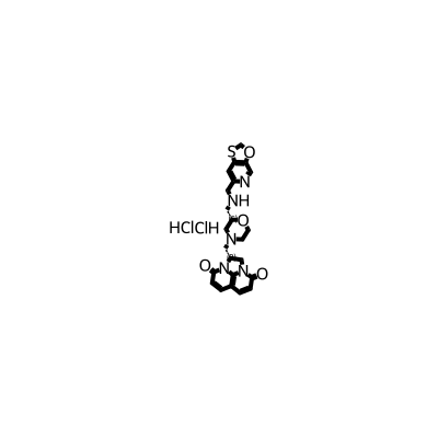 Cl.Cl.O=c1ccc2ccc(=O)n3c2n1C[C@H]3CN1CCO[C@@H](CNCc2cc3c(cn2)OCS3)C1